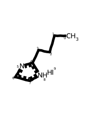 CCCCc1ncc[nH]1.I